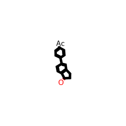 CC(=O)c1ccc(-c2ccc3c(c2)CCC3=O)cc1